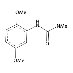 CNC(=O)Nc1cc(OC)ccc1OC